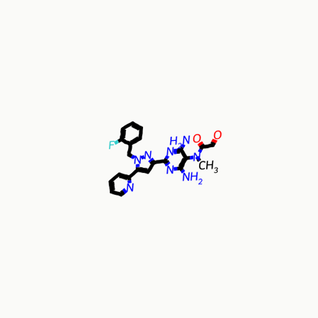 CN(C(=O)C=O)c1c(N)nc(-c2cc(-c3ccccn3)n(Cc3ccccc3F)n2)nc1N